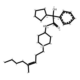 CCCC/C(C)=C\CCN1CCC(NC(=O)C(O)(c2ccccc2)C2CCCC2)CC1